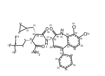 NC(=O)[C@H](CCC(F)(F)F)[C@H](CC1CC1)C(=O)N[C@H]1N=C(c2ccccc2)c2ccc(Cl)c(Cl)c2NC1=O